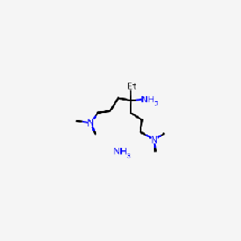 CCC(N)(CCCN(C)C)CCCN(C)C.N